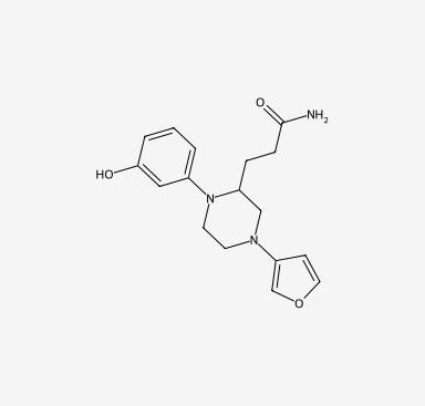 NC(=O)CCC1CN(c2ccoc2)CCN1c1cccc(O)c1